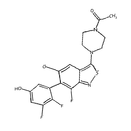 CC(=O)N1CCN(c2snc3c(F)c(-c4cc(O)cc(F)c4F)c(Cl)cc23)CC1